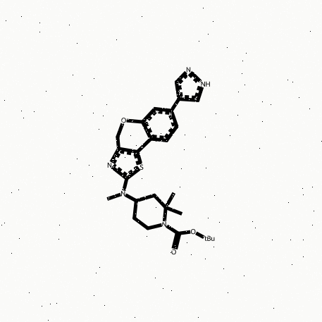 CN(c1nc2c(s1)-c1ccc(-c3cn[nH]c3)cc1OC2)C1CCN(C(=O)OC(C)(C)C)C(C)(C)C1